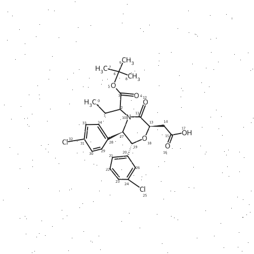 CCC(C(=O)OC(C)(C)C)N1C(=O)[C@@H](CC(=O)O)O[C@H](c2cccc(Cl)c2)[C@H]1c1ccc(Cl)cc1